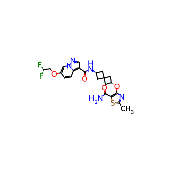 Cc1nc(O[C@H]2CC3(C[C@H](NC(=O)c4cnn5cc(OCC(F)F)ccc45)C3)C2)c(C(N)=O)s1